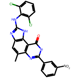 Cc1cc2nc(Nc3c(Cl)cccc3Cl)[nH]c2c2c1N=C(c1cccc([N+](=O)[O-])c1)[N]C2=O